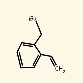 C=Cc1ccccc1CC(C)CC